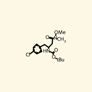 CON(C)C(=O)CC(Cc1ccc(Cl)cc1)NC(=O)OC(C)(C)C